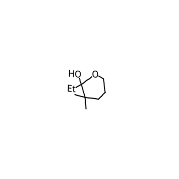 CCC1(O)OCCCC1(C)C